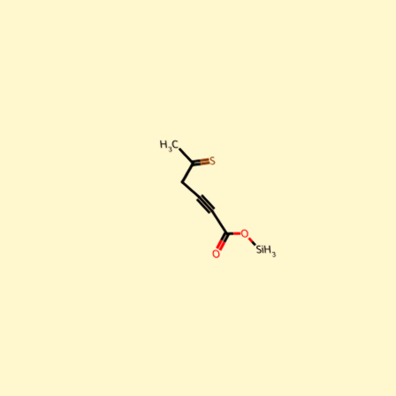 CC(=S)CC#CC(=O)O[SiH3]